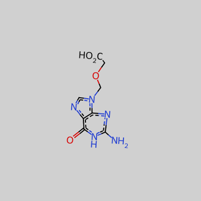 Nc1nc2c(ncn2COCC(=O)O)c(=O)[nH]1